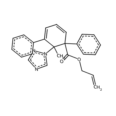 C=CCOC(=O)C1(c2ccccc2)C=CC=C(c2ccccc2)C1(C)n1cncn1